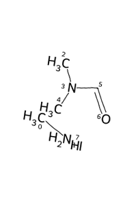 CN.CN(C)C=O.I